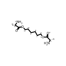 C[C@H](N)C(=O)OCCCCCCOC(=O)[C@H](C)N